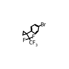 FC(F)(F)C(F)(F)C1(c2ccc(Br)cc2)CC1